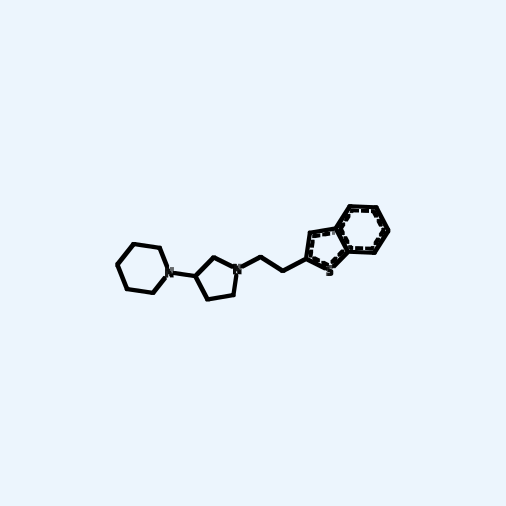 c1ccc2sc(CCN3CCC(N4CCCCC4)C3)cc2c1